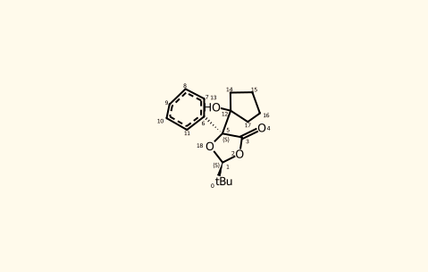 CC(C)(C)[C@@H]1OC(=O)[C@](c2ccccc2)(C2(O)CCCC2)O1